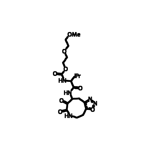 COCCOCCOC(=O)NC(C(=O)NC1Cc2nnoc2CCNC(=O)C1=O)C(C)C